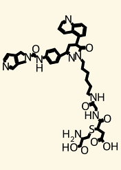 N[C@@H](CSC(CC(=O)O)C(=O)NCC(=O)NCCCCCCN1N=C(c2ccc(NC(=O)N3Cc4ccncc4C3)cc2)CC(c2cccc3ncccc23)C1=O)C(=O)O